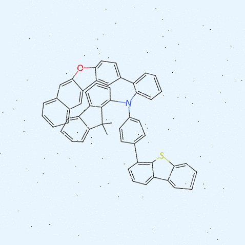 CC1(C)c2ccccc2-c2cccc(N(c3ccc(-c4cccc5c4sc4ccccc45)cc3)c3ccccc3-c3ccc4oc5cc6ccccc6cc5c4c3)c21